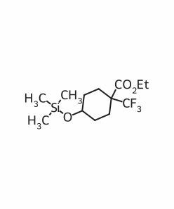 CCOC(=O)C1(C(F)(F)F)CCC(O[Si](C)(C)C)CC1